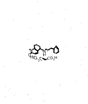 Cn1c2c(ccc1=O)C(NCCCc1ccccc1)CCC2.O=C(O)C=CC(=O)O